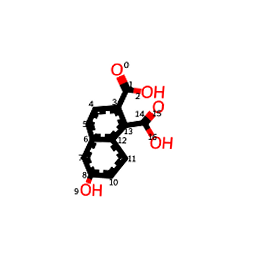 O=C(O)c1ccc2cc(O)ccc2c1C(=O)O